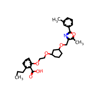 CCCc1cccc(OCCOC2CCCC(OCc3nc(-c4cccc(C)c4)oc3C)C2)c1C(=O)O